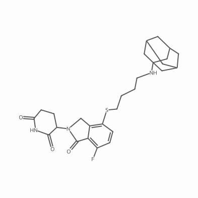 O=C1CCC(N2Cc3c(SCCCCNC45CC6CC(CC(C6)C4)C5)ccc(F)c3C2=O)C(=O)N1